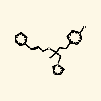 CC(CCc1ccc(Cl)cc1)(Cn1ccnc1)OC/C=C/c1ccccc1